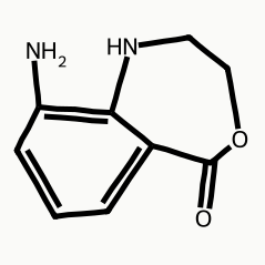 Nc1cccc2c1NCCOC2=O